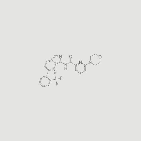 O=C(Nc1ncn2ccc(-c3ccccc3C(F)(F)F)nc12)c1cccc(N2CCOCC2)n1